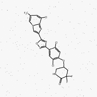 O=C1NCC(Oc2cc(Cl)c(-c3noc(-c4cn5cc(C(F)(F)F)cc(Cl)c5n4)n3)cc2Cl)CC1(F)F